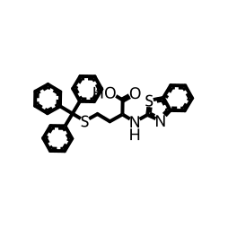 O=C(O)C(CCSC(c1ccccc1)(c1ccccc1)c1ccccc1)Nc1nc2ccccc2s1